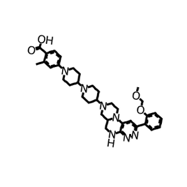 COCOc1ccccc1-c1cc2c(nn1)NCC1CN(C3CCN(C4CCN(c5ccc(C(=O)O)c(C)c5)CC4)CC3)CCN21